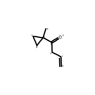 C=CCC(=O)C1(C)CC1